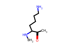 BNC(CCCCN)C(C)=O